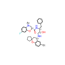 CCc1ccc2c(c1)[C@@H](NC[C@@H](O)[C@H](Cc1ccccc1)NC(=O)[C@H]1CN(C(C)=O)c3ccc(F)cc3O1)CC1(CCCC1)O2